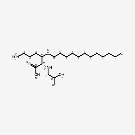 CCCCCCCCCCCCOC(CCCN)[C@H](NCC(C)O)C(=O)O